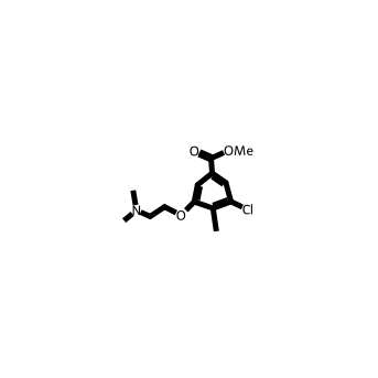 COC(=O)c1cc(Cl)c(C)c(OCCN(C)C)c1